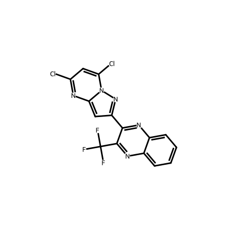 FC(F)(F)c1nc2ccccc2nc1-c1cc2nc(Cl)cc(Cl)n2n1